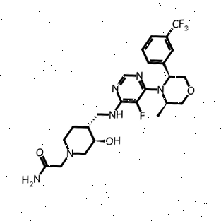 C[C@@H]1COC[C@H](c2cccc(C(F)(F)F)c2)N1c1ncnc(NC[C@H]2CCN(CC(N)=O)C[C@@H]2O)c1F